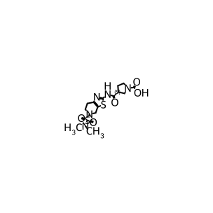 CN(C)S(=O)(=O)N1CCc2nc(NC(=O)[C@H]3CCN(C(=O)O)C3)sc2C1